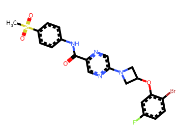 CS(=O)(=O)c1ccc(NC(=O)c2cnc(N3CC(Oc4cc(F)ccc4Br)C3)cn2)cc1